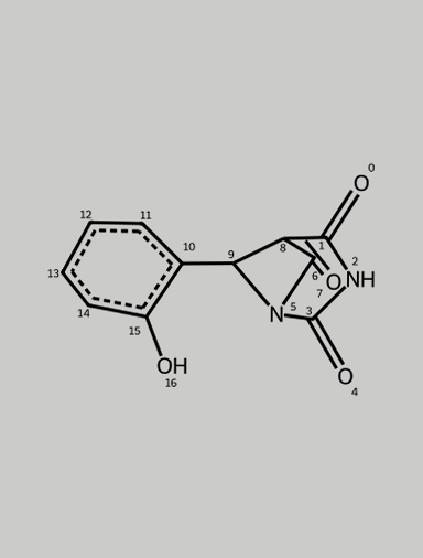 O=C1NC(=O)N2C(=O)C1C2c1ccccc1O